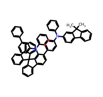 CC1(C)c2ccccc2-c2ccc(N(c3ccccc3)c3ccc(-c4ccc5c(c4N(c4ccccc4)c4cccc(-c6ccccc6)c4)C4(c6ccccc6-c6ccccc64)c4ccccc4-5)cc3)cc21